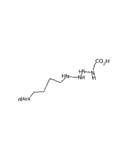 CCCCCCCCCCNNNNC(=O)O